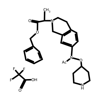 CC(=O)N(OC1CCNCC1)c1ccc2c(c1)CN(C(C)C(=O)OCc1ccccc1)CC2.O=C(O)C(F)(F)F